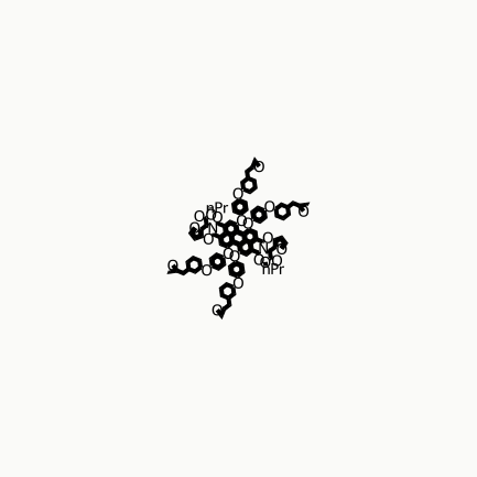 CCCOC(=O)C(c1ccco1)N1C(=O)c2cc(Oc3ccc(OC4CCCC(CC5CO5)C4)cc3)c3c4c(Oc5ccc(OC6CCCC(CC7CO7)C6)cc5)cc5c6c(cc(Oc7ccc(OC8CCCC(CC9CO9)C8)cc7)c(c7c(Oc8ccc(OC9CCCC(CC%10CO%10)C9)cc8)cc(c2c37)C1=O)c64)C(=O)N(C(C(=O)OCCC)c1ccco1)C5=O